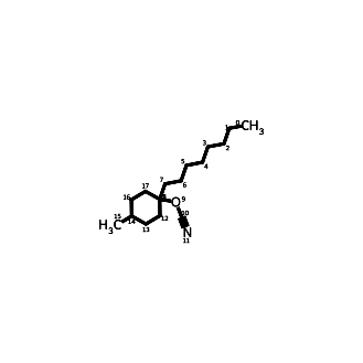 CCCCCCCCC1(OC#N)CCC(C)CC1